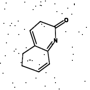 O=C1CC=C2CCC=CC2=N1